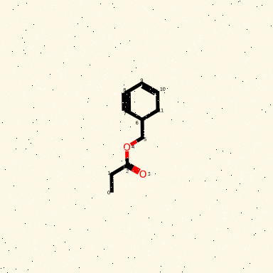 CCC(=O)OCC1C#CC=CC1